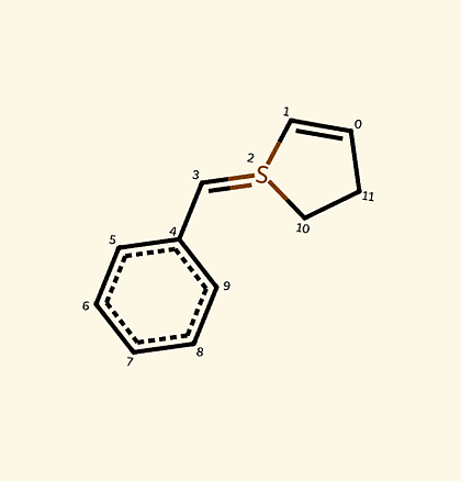 C1=CS(=Cc2ccccc2)CC1